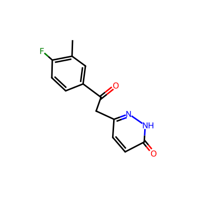 Cc1cc(C(=O)Cc2ccc(=O)[nH]n2)ccc1F